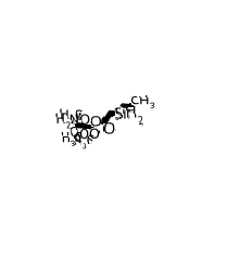 CCC[SiH2]CC(=O)OC(OC)C(OC)(OC)C(N)=O